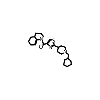 O=C(c1csc(C2CCN(CC3CCCCC3)CC2)n1)N1CCCC2CCCC=C21